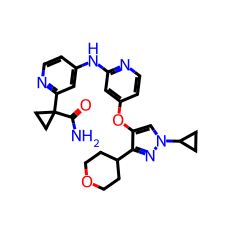 NC(=O)C1(c2cc(Nc3cc(Oc4cn(C5CC5)nc4C4CCOCC4)ccn3)ccn2)CC1